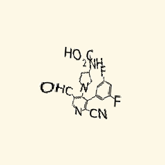 N#Cc1ncc(C=O)c(N2CCC(NC(=O)O)C2)c1-c1cc(F)cc(F)c1